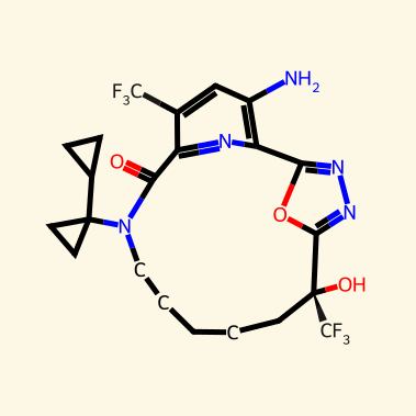 Nc1cc(C(F)(F)F)c2nc1-c1nnc(o1)[C@@](O)(C(F)(F)F)CCCCCN(C1(C3CC3)CC1)C2=O